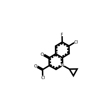 O=C(Cl)c1cn(C2CC2)c2cc(Cl)c(F)cc2c1=O